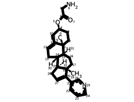 C[C@]12CC[C@H](OC(=O)CN)CC1=CC[C@@H]1[C@@H]2CC[C@]2(C)C(c3cccnc3)=CC[C@@H]12